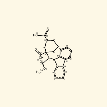 COC(=O)N(C1c2ccccc2-c2ccccc21)C1(C(=O)O)CCCN(C(=O)O)C1